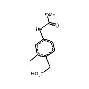 COC(=O)Nc1ccc(CC(=O)O)c(C)c1